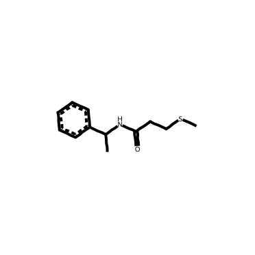 CSCCC(=O)NC(C)c1ccccc1